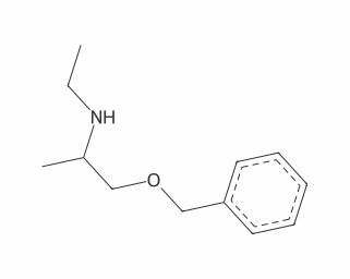 CCNC(C)COCc1ccccc1